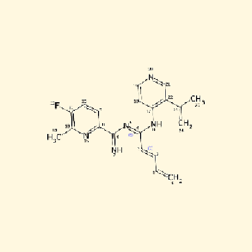 C=C/C=C/C(=N\C(=N)c1ccc(F)c(C)n1)Nc1ccncc1C(=C)C